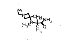 CC(C)CN1CC(C)(N(C)C(C)(C)C(N)=O)C1